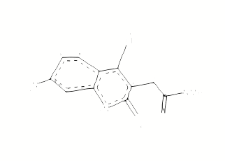 CNC(=O)Cc1c(C(F)(F)F)c2ccc(N)cc2[nH]c1=O